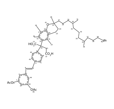 CC(=O)Oc1cc(C=Cc2ccc(C(CC(=O)O)(C(=O)O)c3c(C)c(C)c4c(c3C)CCC(C)(CCCC(C)CCCC(C)CCCC(C)C)O4)cc2)cc(OC(C)=O)c1